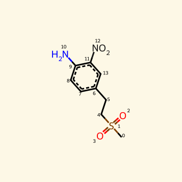 CS(=O)(=O)CCc1ccc(N)c([N+](=O)[O-])c1